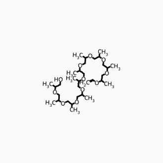 C=COC(C)COC(C)COC(C)COC(C)COC(C)COC(C)COC(C)COC(C)COC(C)COC(C)CO